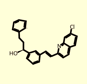 O[C@@H](CCc1[c]cccc1)c1cccc(C=Cc2ccc3ccc(Cl)cc3n2)c1